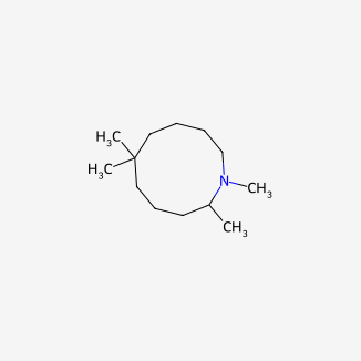 CC1CCCC(C)(C)CCCCN1C